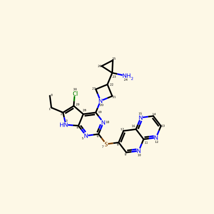 CCc1[nH]c2nc(Sc3cnc4nccnc4c3)nc(N3CC(C4(N)CC4)C3)c2c1Cl